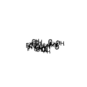 C[C@@H]1CC(F)(F)CN1C(=O)[C@@H](C)NC(=O)c1ccnc(CNC(=O)CCC(=O)O)c1